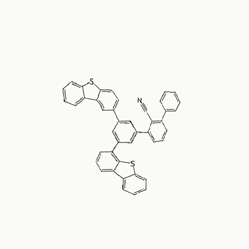 N#Cc1c(-c2ccccc2)cccc1-c1cc(-c2ccc3sc4ccccc4c3c2)cc(-c2cccc3c2sc2ccccc23)c1